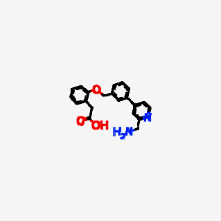 NCc1cc(-c2cccc(COc3ccccc3CC(=O)O)c2)ccn1